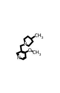 COc1ccncc1CN1CCC(C)CC1